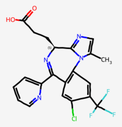 Cc1cnc2n1-c1cc(C(F)(F)F)c(Cl)cc1C(c1ccccn1)=N[C@H]2CCC(=O)O